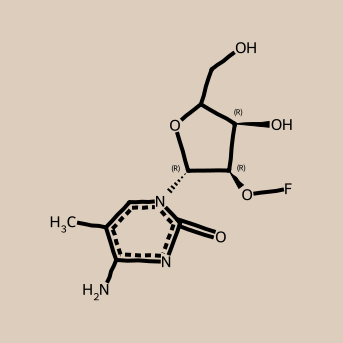 Cc1cn([C@@H]2OC(CO)[C@@H](O)[C@H]2OF)c(=O)nc1N